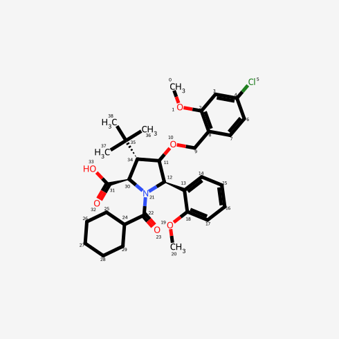 COc1cc(Cl)ccc1COC1[C@@H](c2ccccc2OC)N(C(=O)C2CCCCC2)[C@@H](C(=O)O)[C@@H]1C(C)(C)C